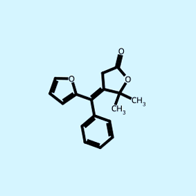 CC1(C)OC(=O)CC1=C(c1ccccc1)c1ccco1